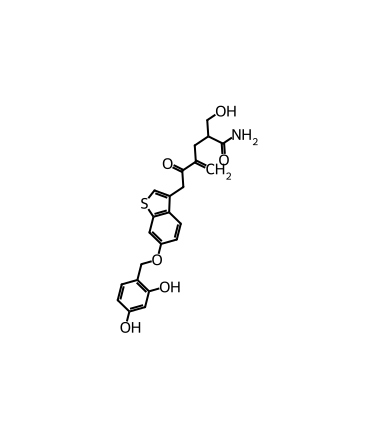 C=C(CC(CO)C(N)=O)C(=O)Cc1csc2cc(OCc3ccc(O)cc3O)ccc12